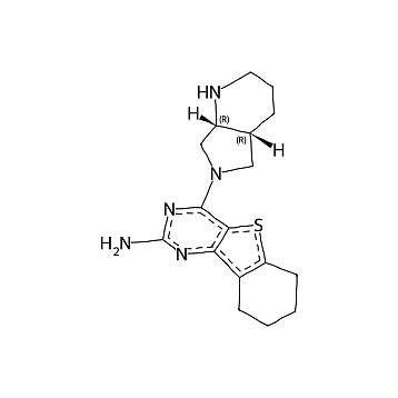 Nc1nc(N2C[C@H]3CCCN[C@H]3C2)c2sc3c(c2n1)CCCC3